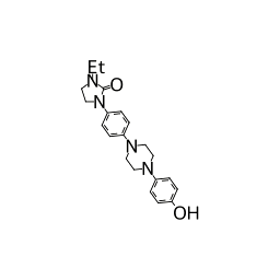 CCN1CCN(c2ccc(N3CCN(c4ccc(O)cc4)CC3)cc2)C1=O